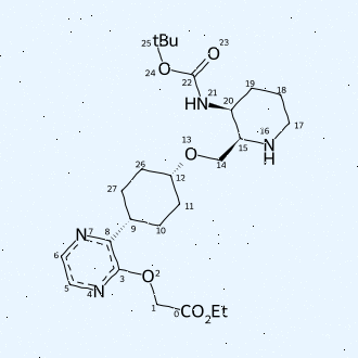 CCOC(=O)COc1nccnc1[C@H]1CC[C@@H](OC[C@@H]2NCCC[C@@H]2NC(=O)OC(C)(C)C)CC1